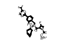 CC(C)(C)OC(=O)N1CC(F)C1C(=O)N(Cc1ccc(-c2nnc(C(F)F)o2)cc1F)Nc1ccccc1